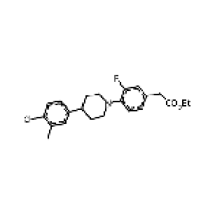 CCOC(=O)Cc1ccc(N2CCC(c3ccc(Cl)c(C)c3)CC2)c(F)c1